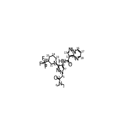 CN(C)C(=O)Cn1cc(NC(=O)c2cnn3cccnc23)c(N2CCCC(C(F)(F)F)C2)n1